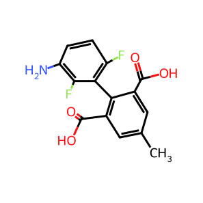 Cc1cc(C(=O)O)c(-c2c(F)ccc(N)c2F)c(C(=O)O)c1